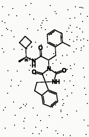 Cc1ccccc1CC(C(=O)N[C@@H](C)C1CCC1)N1C(=O)NC2(CCc3ccccc32)C1=O